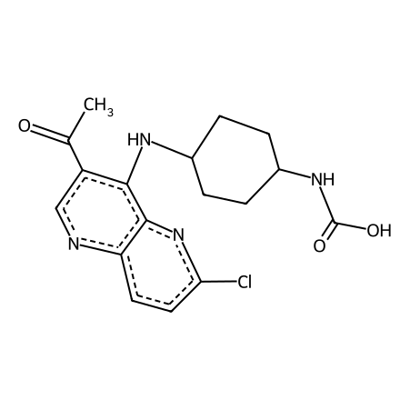 CC(=O)c1cnc2ccc(Cl)nc2c1NC1CCC(NC(=O)O)CC1